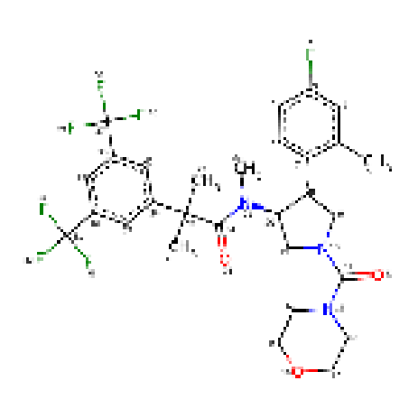 Cc1cc(F)ccc1[C@@H]1CN(C(=O)N2CCOCC2)C[C@H]1N(C)C(=O)C(C)(C)c1cc(C(F)(F)F)cc(C(F)(F)F)c1